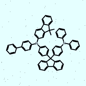 CC1(C)c2ccccc2-c2ccc(N(c3ccc(-c4ccccc4)cc3)c3ccc(C4(c5ccc(N(c6ccccc6)c6ccccc6)cc5)c5ccccc5-c5ccccc54)cc3)cc21